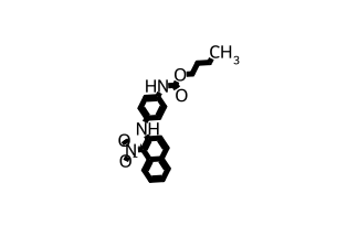 CCCCOC(=O)Nc1ccc(Nc2ccc3ccccc3c2[N+](=O)[O-])cc1